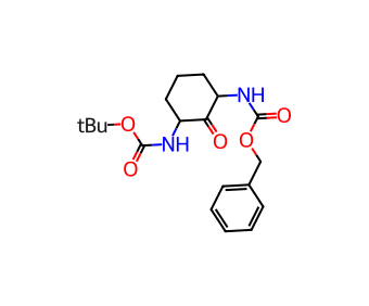 CC(C)(C)OC(=O)NC1CCCC(NC(=O)OCc2ccccc2)C1=O